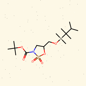 CC(C)C(C)(C)[Si](C)(C)OCC1CN(C(=O)OC(C)(C)C)S(=O)(=O)O1